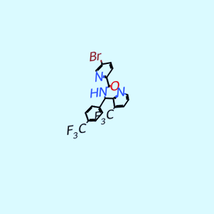 O=C(NC(c1ccc(C(F)(F)F)cc1)c1ncccc1C(F)(F)F)c1ccc(Br)cn1